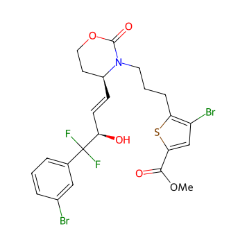 COC(=O)c1cc(Br)c(CCCN2C(=O)OCC[C@@H]2/C=C/[C@@H](O)C(F)(F)c2cccc(Br)c2)s1